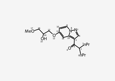 CCCC(CCC)C(=O)c1cnn2ccc(OCC(O)COC)cc12